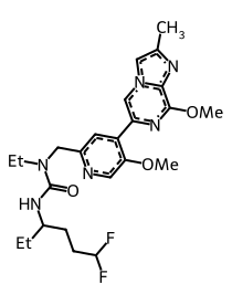 CCC(CCC(F)F)NC(=O)N(CC)Cc1cc(-c2cn3cc(C)nc3c(OC)n2)c(OC)cn1